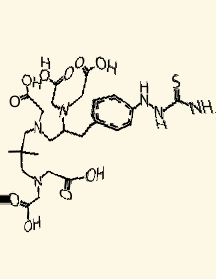 CC(C)(CN(CC(=O)O)CC(=O)O)CN(CC(=O)O)CC(Cc1ccc(NNC(N)=S)cc1)N(CC(=O)O)CC(=O)O